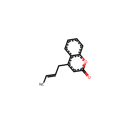 N#CC=CCc1cc(=O)oc2ccccc12